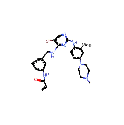 C=CC(=O)Nc1cccc(CNc2nc(Nc3ccc(N4CCN(C)CC4)cc3OC)ncc2Br)c1